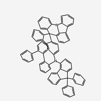 c1ccc(-c2ccccc2-c2ccccc2N(c2ccc3c(c2)-c2ccccc2C32c3ccccc3-n3c4ccccc4c4cccc2c43)c2cccc3c2-c2ccccc2C3(c2ccccc2)c2ccccc2)cc1